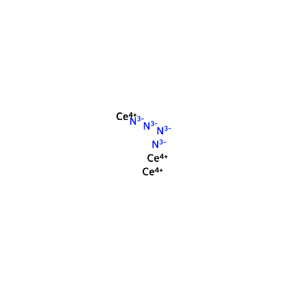 [Ce+4].[Ce+4].[Ce+4].[N-3].[N-3].[N-3].[N-3]